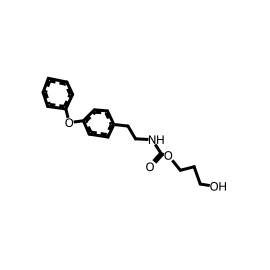 O=C(NCCc1ccc(Oc2ccccc2)cc1)OCCCO